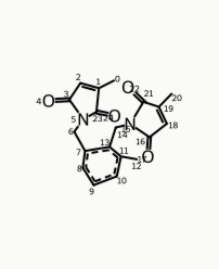 CC1=CC(=O)N(Cc2cccc(C)c2CN2C(=O)C=C(C)C2=O)C1=O